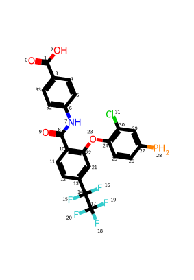 O=C(O)c1ccc(NC(=O)c2ccc(C(F)(F)C(F)(F)F)cc2Oc2ccc(P)cc2Cl)cc1